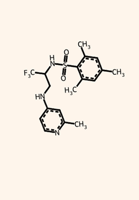 Cc1cc(C)c(S(=O)(=O)NC(CNc2ccnc(C)c2)C(F)(F)F)c(C)c1